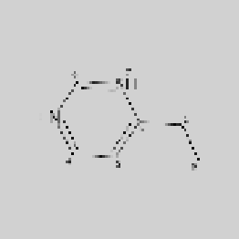 CCC1=CC=NC=[SH]1